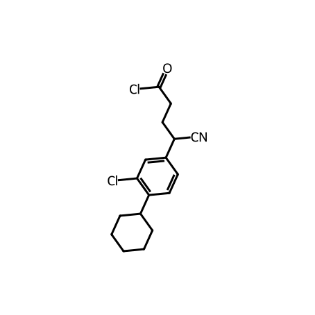 N#CC(CCC(=O)Cl)c1ccc(C2CCCCC2)c(Cl)c1